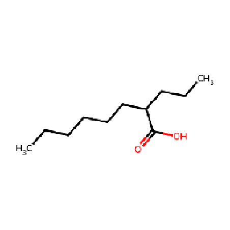 CCCCCCC(CCC)C(=O)O